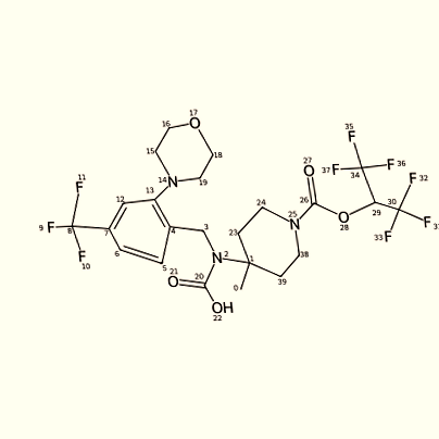 CC1(N(Cc2ccc(C(F)(F)F)cc2N2CCOCC2)C(=O)O)CCN(C(=O)OC(C(F)(F)F)C(F)(F)F)CC1